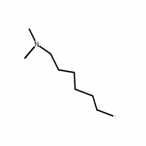 [CH2]CCCCCCN(C)C